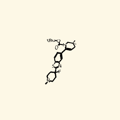 C[C@H]1CC=C(c2ccc3sc(C4(F)CCN(C)CC4)nc3c2)N(C(=O)OC(C)(C)C)C1